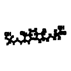 CC(C)(CO)CCCC1CCC(/C=C\C2CCC(CCCC(C)(C)C(=O)O)C2=O)C1=O